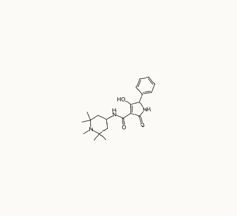 CN1C(C)(C)CC(NC(=O)C2=C(O)C(c3ccccc3)NC2=O)CC1(C)C